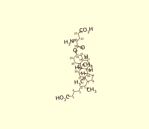 C[C@H](CCCCC(=O)O)C1CC[C@H]2[C@@H]3CC[C@@H]4C[C@H](OC(=O)[C@H](N)CCC(=O)O)CC[C@]4(C)[C@H]3CC[C@]12C